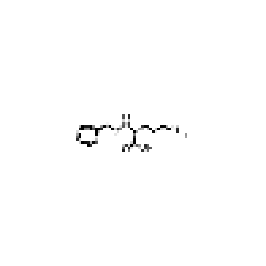 CCCC[C@H](NOCc1ccccc1)C(=O)O